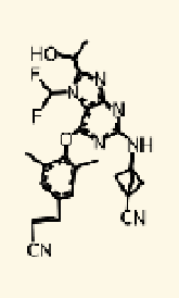 Cc1cc(/C=C/C#N)cc(C)c1Oc1nc(NC23CC(C#N)(C2)C3)nc2nc(C(C)O)n(C(F)F)c12